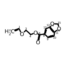 C=COCCOC(=O)c1ccc2c(c1)OCO2